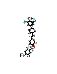 CCC1CCC(C(F)(F)OC2CCC(/C=C/C3CCC(c4cc(F)c(C(F)(F)F)c(F)c4)CC3)CC2)CC1